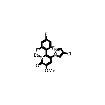 CCn1c(-c2c(F)cc(F)cc2F)c(-n2cc(Cl)cn2)cc(OC)c1=O